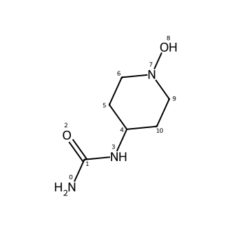 NC(=O)NC1CCN(O)CC1